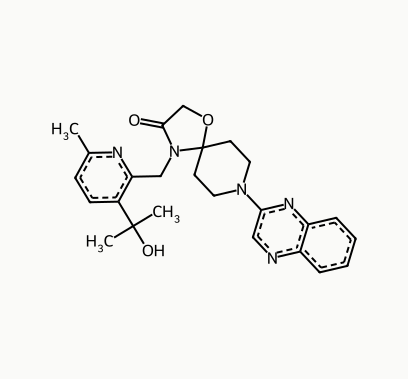 Cc1ccc(C(C)(C)O)c(CN2C(=O)COC23CCN(c2cnc4ccccc4n2)CC3)n1